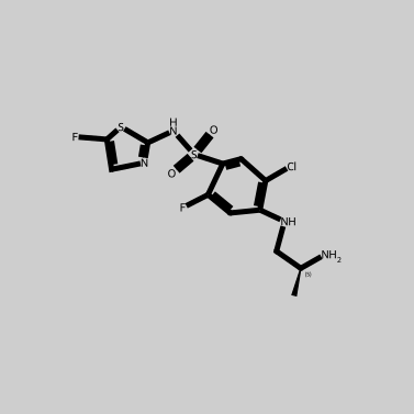 C[C@H](N)CNc1cc(F)c(S(=O)(=O)Nc2ncc(F)s2)cc1Cl